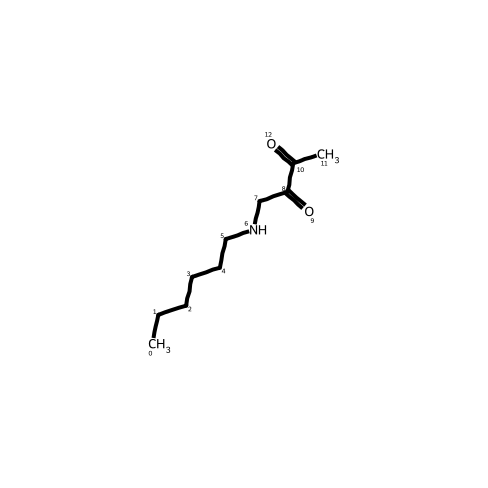 CCCCCCNCC(=O)C(C)=O